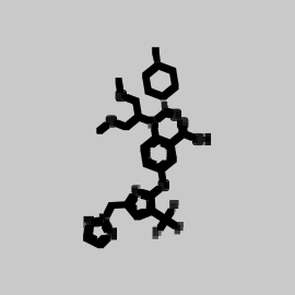 COCC(COC)N(c1ccc(Oc2sc(Cn3nccn3)cc2C(F)(F)F)cc1C(=O)O)C(=O)[C@H]1CC[C@H](C)CC1